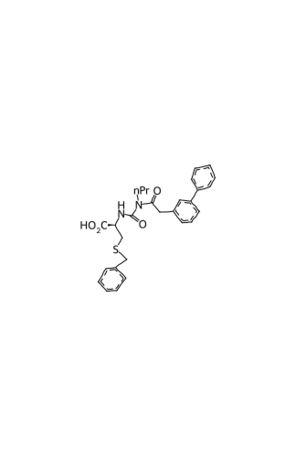 CCCN(C(=O)Cc1cccc(-c2ccccc2)c1)C(=O)N[C@@H](CSCc1ccccc1)C(=O)O